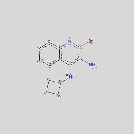 Nc1c(Br)nc2ccccc2c1NC1CCC1